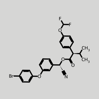 CC(C)[C@@H](C(=O)O[C@H](C#N)c1cccc(Oc2ccc(Br)cc2)c1)c1ccc(OC(F)F)cc1